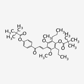 CCCc1c(OC)c(C=CC(=O)c2ccc(OC(=O)C(C)(C)C)cc2)c(OC)c(CCC)c1OC(=O)C(C)(C)C